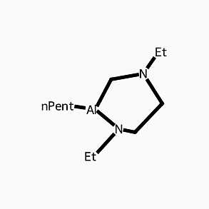 CCCC[CH2][Al]1[CH2]N(CC)CC[N]1CC